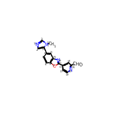 Cn1cncc1-c1ccc2oc(-c3ccnc(C=O)c3)nc2c1